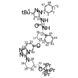 Cc1ccc(-n2nc(C(C)(C)C)cc2NC(=O)N[C@H]2CC[C@@H](Oc3ccc4nnc(N5CCC[C@@H](CO[Si](C(C)C)(C(C)C)C(C)C)C5)n4c3)c3ccccc32)cc1